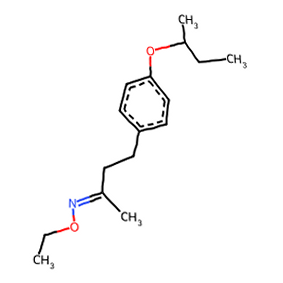 CCO/N=C(\C)CCc1ccc(OC(C)CC)cc1